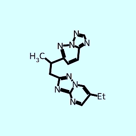 CCc1cnc2nc(CC(C)c3ccc4ncnn4n3)nn2c1